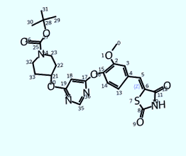 COc1cc(/C=C2\SC(=O)NC2=O)ccc1Oc1cc(OC2CCN(C(=O)OC(C)(C)C)CC2)ncn1